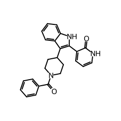 O=C(c1ccccc1)N1CCC(c2c(-c3ccc[nH]c3=O)[nH]c3ccccc23)CC1